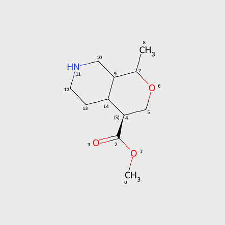 COC(=O)[C@@H]1COC(C)C2CNCCC21